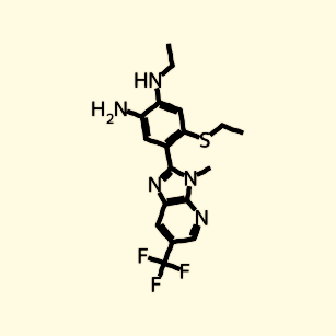 CCNc1cc(SCC)c(-c2nc3cc(C(F)(F)F)cnc3n2C)cc1N